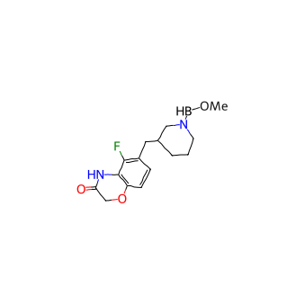 COBN1CCCC(Cc2ccc3c(c2F)NC(=O)CO3)C1